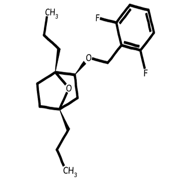 CCC[C@@]12CC[C@@](CCC)(O1)[C@@H](OCc1c(F)cccc1F)C2